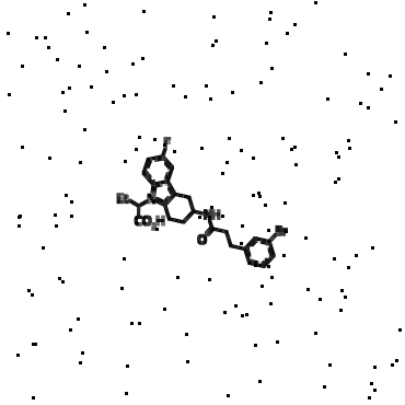 CCC(C(=O)O)n1c2c(c3cc(F)ccc31)CC(NC(=O)CCc1cccc(Br)c1)CC2